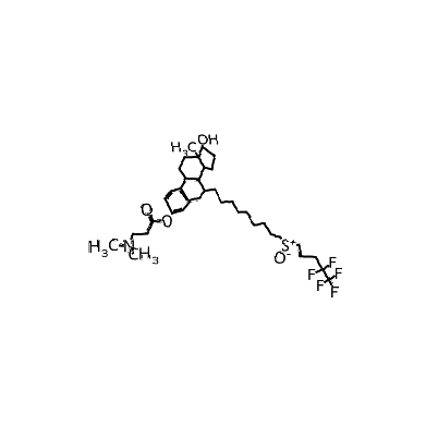 CN(C)CCC(=O)Oc1ccc2c(c1)CC(CCCCCCCCC[S+]([O-])CCCC(F)(F)C(F)(F)F)C1C2CCC2(C)C(O)CCC12